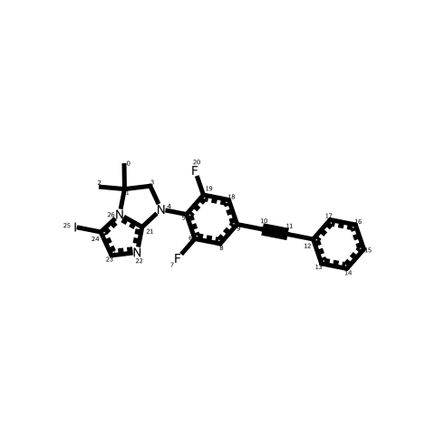 CC1(C)CN(c2c(F)cc(C#Cc3ccccc3)cc2F)c2ncc(I)n21